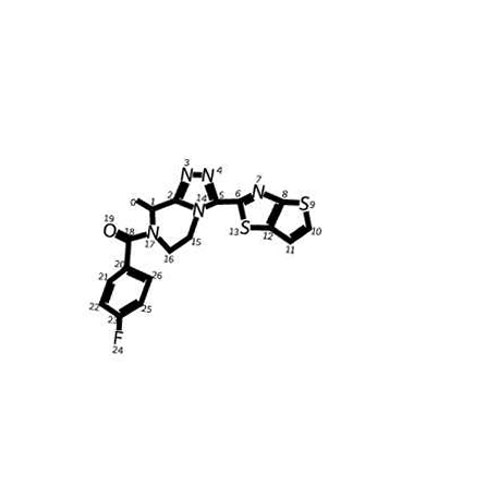 CC1c2nnc(-c3nc4sccc4s3)n2CCN1C(=O)c1ccc(F)cc1